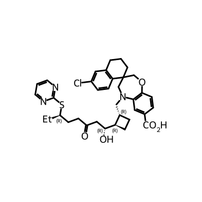 CC[C@H](CCC(=O)C[C@@H](O)[C@@H]1CC[C@H]1CN1CC2(CCCc3cc(Cl)ccc32)COc2ccc(C(=O)O)cc21)Sc1ncccn1